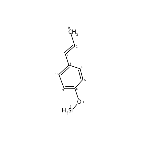 C/C=C/c1ccc(O[SiH3])cc1